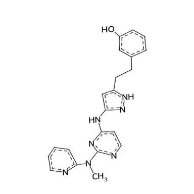 CN(c1ccccn1)c1nccc(Nc2cc(CCc3cccc(O)c3)[nH]n2)n1